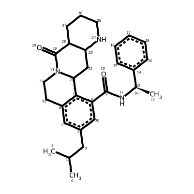 CC(C)Cc1cc2c(c(C(=O)N[C@H](C)c3ccccc3)c1)C1CC3NCCCC3C(=O)N1CC2